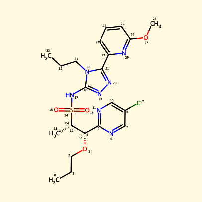 CCCO[C@@H](c1ncc(Cl)cn1)[C@H](C)S(=O)(=O)Nc1nnc(-c2cccc(OC)n2)n1CCC